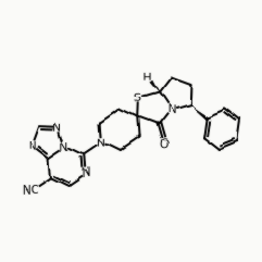 N#Cc1cnc(N2CCC3(CC2)S[C@@H]2CC[C@@H](c4ccccc4)N2C3=O)n2ncnc12